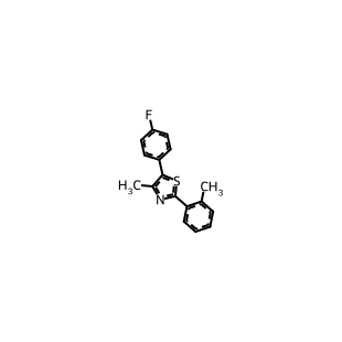 Cc1ccccc1-c1nc(C)c(-c2ccc(F)cc2)s1